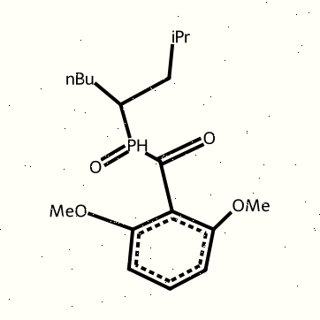 CCCCC(CC(C)C)[PH](=O)C(=O)c1c(OC)cccc1OC